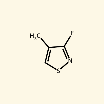 Cc1csnc1F